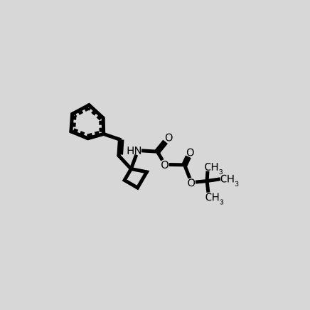 CC(C)(C)OC(=O)OC(=O)NC1(C=Cc2ccccc2)CCC1